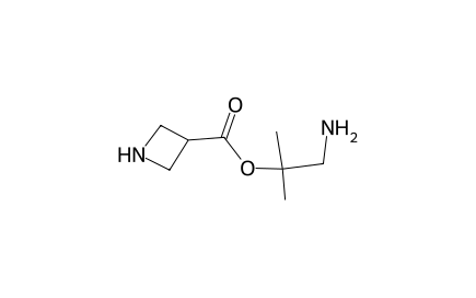 CC(C)(CN)OC(=O)C1CNC1